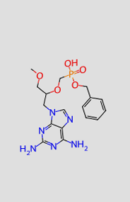 COCC(Cn1cnc2c(N)nc(N)nc21)OCP(=O)(O)OCc1ccccc1